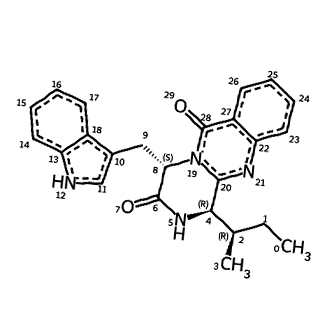 CC[C@@H](C)[C@H]1NC(=O)[C@H](Cc2c[nH]c3ccccc23)n2c1nc1ccccc1c2=O